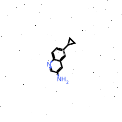 Nc1cnc2ccc(C3CC3)cc2c1